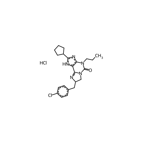 CCCN1C(=O)N2CC(Cc3ccc(Cl)cc3)N=C2c2[nH]c(C3CCCC3)nc21.Cl